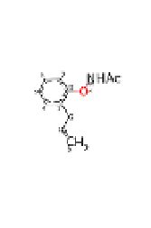 C=CCc1ccccc1ONC(C)=O